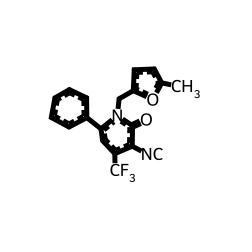 [C-]#[N+]c1c(C(F)(F)F)cc(-c2ccccc2)n(Cc2ccc(C)o2)c1=O